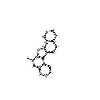 Cc1cc2ccccc2c2c1sc1c3ccccc3ccc12